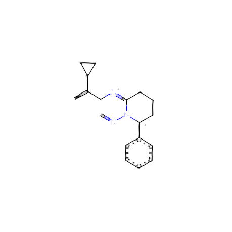 C=NN1/C(=N\CC(=C)C2CC2)CCCC1c1ccccc1